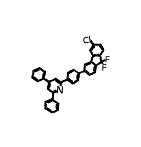 FC1(F)c2ccc(Cl)cc2-c2cc(-c3ccc(-c4cc(-c5ccccc5)cc(-c5ccccc5)n4)cc3)ccc21